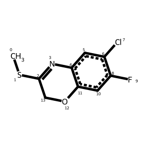 CSC1=Nc2cc(Cl)c(F)cc2OC1